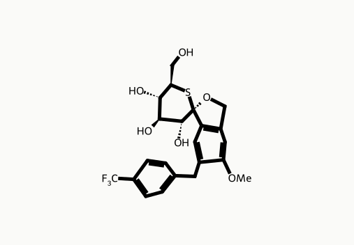 COc1cc2c(cc1Cc1ccc(C(F)(F)F)cc1)[C@]1(OC2)S[C@H](CO)[C@@H](O)[C@H](O)[C@H]1O